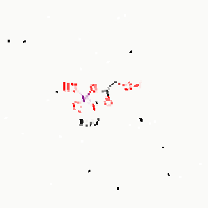 CC(=O)OOP(=O)(O)OC(=O)CO